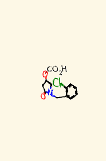 O=C(O)OC1CC(=O)N(Cc2ccccc2Cl)C1